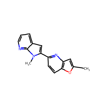 Cc1cc2nc(-c3cc4cccnc4n3C)ccc2o1